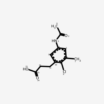 CC(=O)Nc1cc(C)c(Cl)c(CCC(=O)O)c1